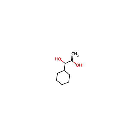 C=C(O)C(O)C1CCCCC1